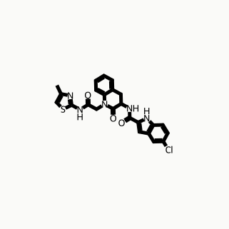 Cc1csc(NC(=O)CN2C(=O)C(NC(=O)c3cc4cc(Cl)ccc4[nH]3)Cc3ccccc32)n1